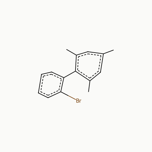 Cc1cc(C)c(-c2ccccc2Br)c(C)c1